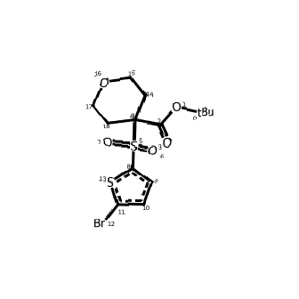 CC(C)(C)OC(=O)C1(S(=O)(=O)c2ccc(Br)s2)CCOCC1